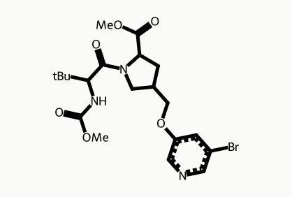 COC(=O)NC(C(=O)N1CC(COc2cncc(Br)c2)CC1C(=O)OC)C(C)(C)C